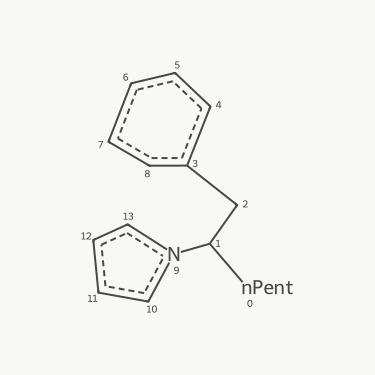 CCCCCC(Cc1ccccc1)n1cccc1